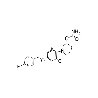 NC(=O)OC1CCCN(c2ncc(OCc3ccc(F)cc3)cc2Cl)C1